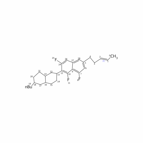 C/C=C/CCc1cc(F)c2c(F)c(C3CCC4CC(CCCC)CCC4C3)c(F)cc2c1